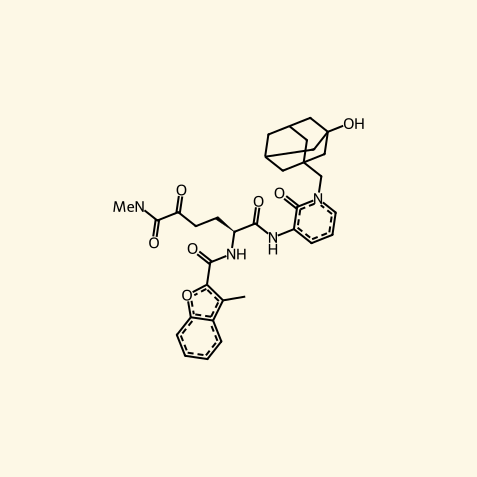 CNC(=O)C(=O)CC[C@H](NC(=O)c1oc2ccccc2c1C)C(=O)Nc1cccn(CC23CC4CC(CC(O)(C4)C2)C3)c1=O